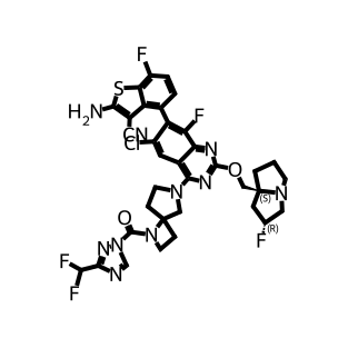 N#Cc1c(N)sc2c(F)ccc(-c3c(Cl)cc4c(N5CCC6(CCN6C(=O)n6cnc(C(F)F)n6)C5)nc(OC[C@@]56CCCN5C[C@H](F)C6)nc4c3F)c12